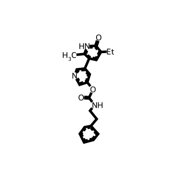 CCc1cc(-c2cncc(OC(=O)NCCc3ccccc3)c2)c(C)[nH]c1=O